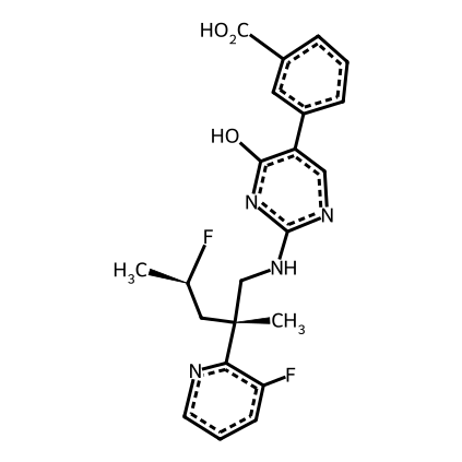 C[C@@H](F)C[C@](C)(CNc1ncc(-c2cccc(C(=O)O)c2)c(O)n1)c1ncccc1F